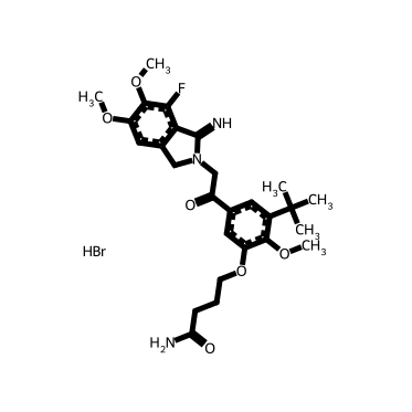 Br.COc1cc2c(c(F)c1OC)C(=N)N(CC(=O)c1cc(OCCCC(N)=O)c(OC)c(C(C)(C)C)c1)C2